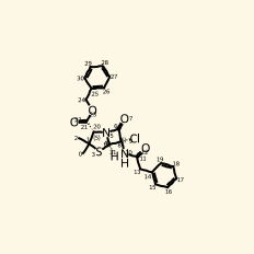 CC1(C)S[C@H]2N(C(=O)[C@@]2(Cl)NC(=O)Cc2ccccc2)[C@H]1C(=O)OCc1ccccc1